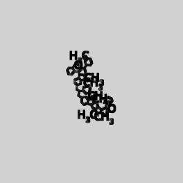 Cc1cccc(-c2cc3c(c4c2OCc2ccccc2-4)-c2ccc(CC(Cc4ccc5c(c4)C(C)(C)c4cc6c(cc4-5)C(C)(C)c4ccc5oc7ccccc7c5c4-6)c4ccccc4)cc2C3(C)C)c1